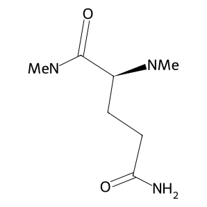 CNC(=O)[C@H](CCC(N)=O)NC